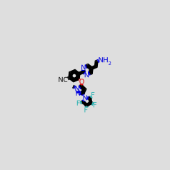 Cn1nc(N2C(F)C(F)C(F)C2F)cc1Oc1cc(C#N)ccc1-c1ncc(CCN)cn1